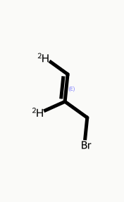 [2H]/C=C(\[2H])CBr